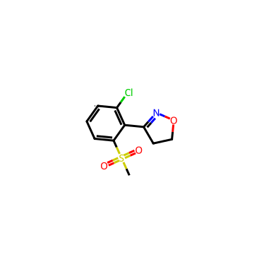 CS(=O)(=O)c1cc[c]c(Cl)c1C1=NOCC1